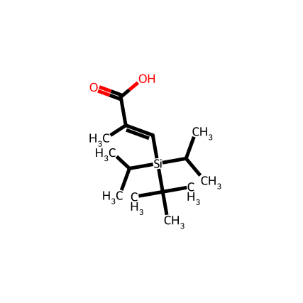 CC(=C[Si](C(C)C)(C(C)C)C(C)(C)C)C(=O)O